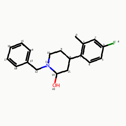 Cc1cc(F)ccc1C1CCN(Cc2ccccc2)C(O)C1